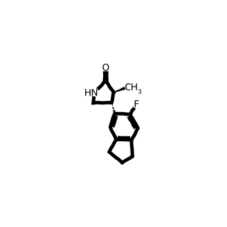 C[C@@H]1C(=O)NC[C@H]1c1cc2c(cc1F)CCC2